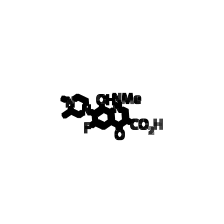 CNn1cc(C(=O)O)c(=O)c2cc(F)c(N3CCN(C)C(C)C3)c(O)c21